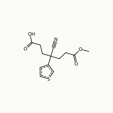 COC(=O)CCC(C#N)(CCC(=O)O)c1ccsc1